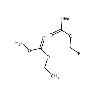 CCOC(=O)OC.COC(=O)OCF